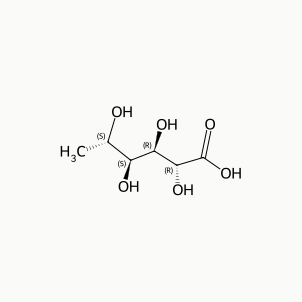 C[C@H](O)[C@H](O)[C@@H](O)[C@@H](O)C(=O)O